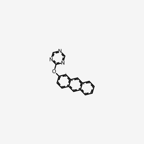 [c]1c(Oc2ncncn2)ccc2cc3ccccc3cc12